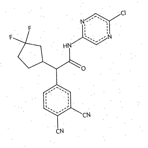 N#Cc1ccc(C(C(=O)Nc2cnc(Cl)cn2)C2CCC(F)(F)C2)cc1C#N